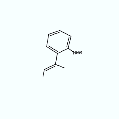 C/C=C(\C)c1ccccc1NC